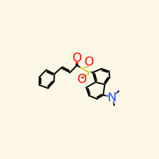 CN(C)c1cccc2c(S(=O)(=O)C(=O)C=Cc3ccccc3)cccc12